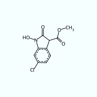 COC(=O)C1C(=O)N(O)c2cc(Cl)ccc21